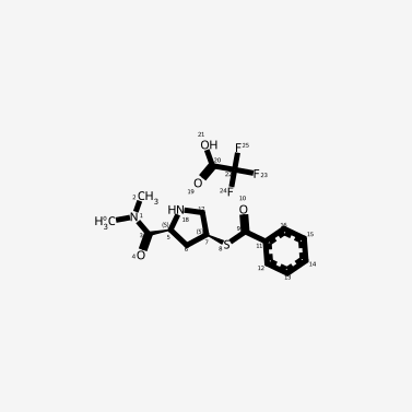 CN(C)C(=O)[C@@H]1C[C@H](SC(=O)c2ccccc2)CN1.O=C(O)C(F)(F)F